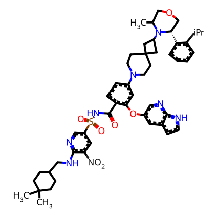 CC(C)c1ccccc1[C@H]1COCC(C)N1C1CC2(CCN(c3ccc(C(=O)NS(=O)(=O)c4cnc(NCC5CCC(C)(C)CC5)c([N+](=O)[O-])c4)c(Oc4cnc5[nH]ccc5c4)c3)CC2)C1